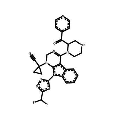 N#CC1(N2CN=C(N3CCNCC3C(=O)c3ccncc3)c3c2n(-c2nnc(C(F)F)s2)c2ccccc32)CC1